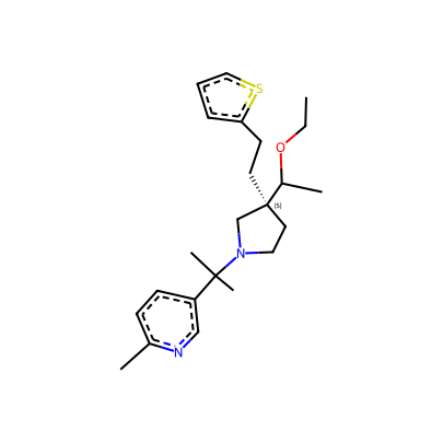 CCOC(C)[C@@]1(CCc2cccs2)CCN(C(C)(C)c2ccc(C)nc2)C1